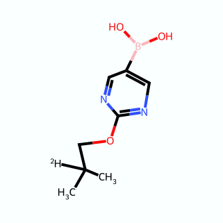 [2H]C(C)(C)COc1ncc(B(O)O)cn1